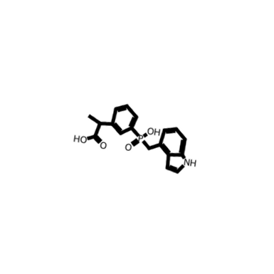 CC(C(=O)O)c1cccc(P(=O)(O)Cc2cccc3[nH]ccc23)c1